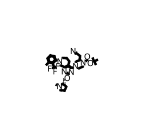 Cc1cccc(N2CCCc3c(nc(OC[C@@H]4CCCN4C)nc3N3CCN(C(=O)OC(C)(C)C)C(CC#N)C3)C2)c1C(F)(F)F